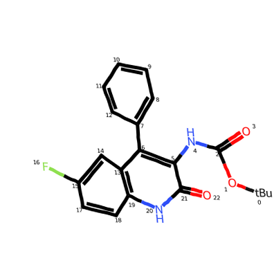 CC(C)(C)OC(=O)Nc1c(-c2ccccc2)c2cc(F)ccc2[nH]c1=O